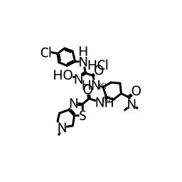 CN1CCc2nc(C(=O)N[C@@H]3CC(C(=O)N(C)C)CC[C@@H]3NC(=O)C(=NO)Nc3ccc(Cl)cc3)sc2C1.Cl